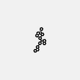 C1=CC2C=Cc3c(c4c(-c5cccc(N(c6ccc(-c7ccc8c(ccc9ccccc98)c7)cc6)c6cccc7ccccc67)c5)cccc4n3-c3ccccc3)C2C=C1